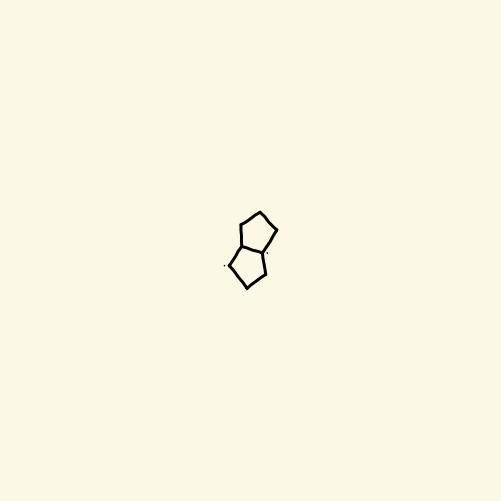 [CH]1CC[C]2CCCC12